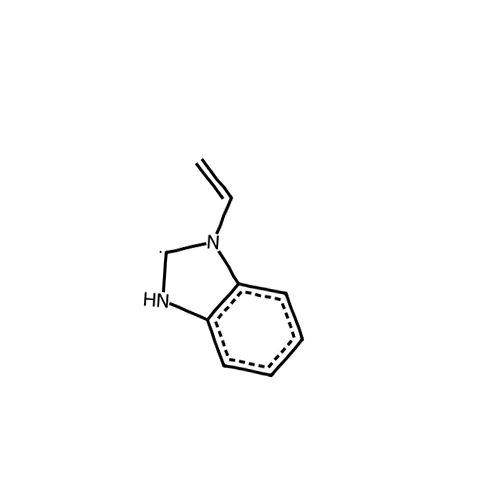 C=CN1[CH]Nc2ccccc21